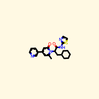 Cc1cc(-c2cccnc2)cc(=O)n1C(CC1CCCCC1)C(=O)Nc1nccs1